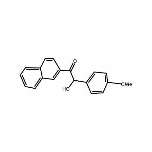 COc1ccc(C(O)C(=O)c2ccc3ccccc3c2)cc1